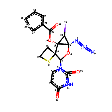 [N-]=[N+]=N[C@]12O[C@@H](n3ccc(=O)[nH]c3=O)[C@@]3(CCS3)[C@@]1(OC(=O)c1ccccc1)C2I